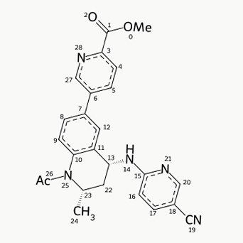 COC(=O)c1ccc(-c2ccc3c(c2)[C@H](Nc2ccc(C#N)cn2)C[C@H](C)N3C(C)=O)cn1